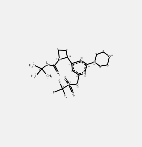 CC(C)(C)OC(=O)N1CCC1c1cc(OS(=O)(=O)C(F)(F)F)nc(N2CCOCC2)n1